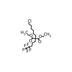 CCOC(=O)C(CCCCCCCl)(CCCC(F)(F)C(F)(F)F)C(=O)OCC